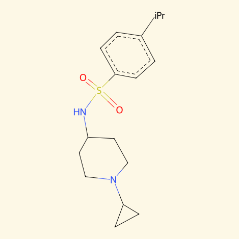 CC(C)c1ccc(S(=O)(=O)NC2CCN(C3CC3)CC2)cc1